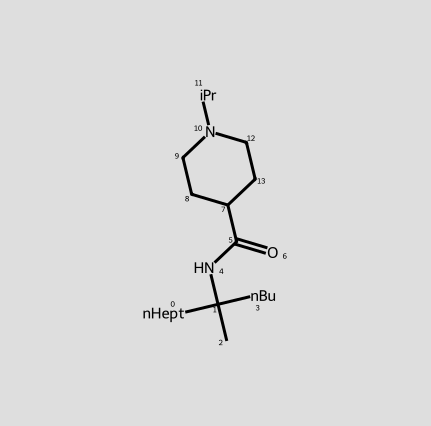 CCCCCCCC(C)(CCCC)NC(=O)C1CCN(C(C)C)CC1